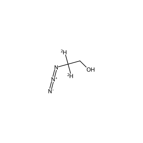 [2H]C([2H])(CO)N=[N+]=[N-]